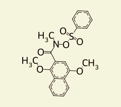 COc1cc(C(=O)N(C)OS(=O)(=O)c2ccccc2)c(OC)c2ccccc12